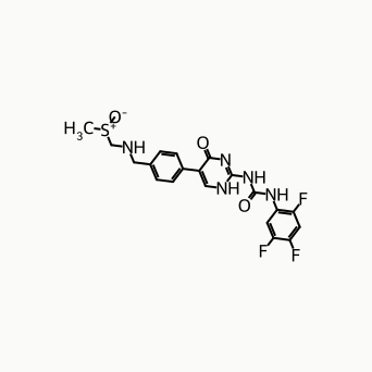 C[S+]([O-])CNCc1ccc(-c2c[nH]c(NC(=O)Nc3cc(F)c(F)cc3F)nc2=O)cc1